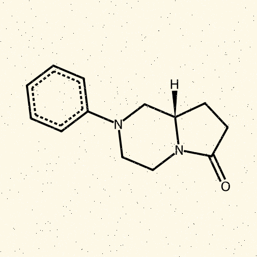 O=C1CC[C@H]2CN(c3ccccc3)CCN12